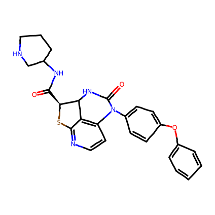 O=C(NC1CCCNC1)[C@@H]1Sc2nccc3c2C1NC(=O)N3c1ccc(Oc2ccccc2)cc1